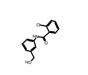 O=C(Nc1cccc(CO)c1)c1ccccc1Cl